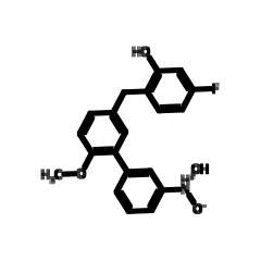 COc1ccc(Cc2ccc(F)cc2O)cc1-c1cccc([NH+]([O-])O)c1